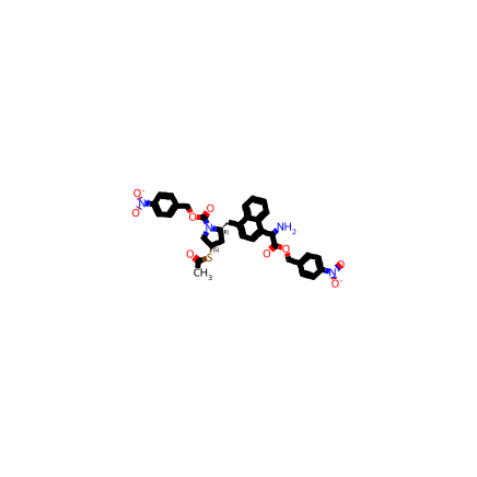 CC(=O)S[C@H]1C[C@@H](Cc2ccc(C(N)C(=O)OCc3ccc([N+](=O)[O-])cc3)c3ccccc23)N(C(=O)OCc2ccc([N+](=O)[O-])cc2)C1